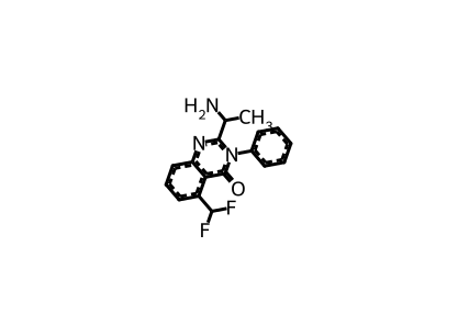 CC(N)c1nc2cccc(C(F)F)c2c(=O)n1-c1ccccc1